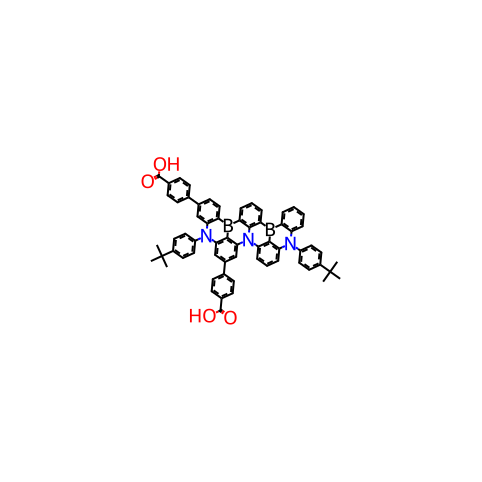 CC(C)(C)c1ccc(N2c3ccccc3B3c4cccc5c4N(c4cccc2c43)c2cc(-c3ccc(C(=O)O)cc3)cc3c2B5c2ccc(-c4ccc(C(=O)O)cc4)cc2N3c2ccc(C(C)(C)C)cc2)cc1